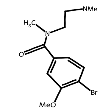 CNCCN(C)C(=O)c1ccc(Br)c(OC)c1